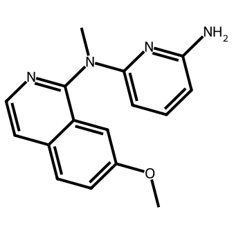 COc1ccc2ccnc(N(C)c3cccc(N)n3)c2c1